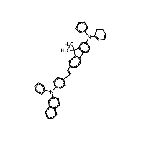 CC1(C)c2cc(/C=C/c3ccc(N(c4ccccc4)c4ccc5ccccc5c4)cc3)ccc2-c2ccc(N(C3=CC=CCC3)c3ccccc3)cc21